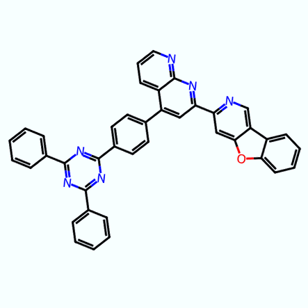 c1ccc(-c2nc(-c3ccccc3)nc(-c3ccc(-c4cc(-c5cc6oc7ccccc7c6cn5)nc5ncccc45)cc3)n2)cc1